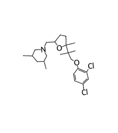 CC1CC(C)CN(CC2CCC(C)(C(C)(C)COc3ccc(Cl)cc3Cl)O2)C1